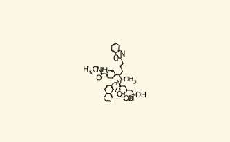 CNC(=O)c1ccc(C(C/C=C/c2nc3ccccc3o2)C(C)N(Cc2ccc3ccccc3c2)C(=O)CC(CC(=O)O)C(=O)O)cc1